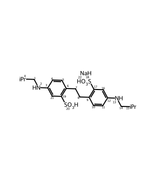 CC(C)CNc1ccc(CCc2ccc(NCC(C)C)cc2S(=O)(=O)O)c(S(=O)(=O)O)c1.[NaH]